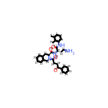 Cc1cccc(NC(=O)[C@H](CCN)NC(=O)[C@@H]2Cc3ccccc3CN2C(=O)CCC(=O)c2ccccc2)c1C